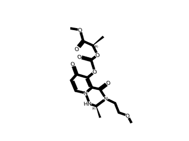 COCCN1C(=O)c2c(OC(=O)O[C@H](C)C(=O)OC)c(=O)ccn2N[C@@H]1C